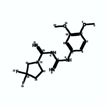 COc1ccc(NC(=N)NC(=N)N2CCC(F)(F)C2)cc1OC